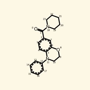 O=C(c1ccc2c(c1)OCCN2c1ccccc1)N1CCCCC1